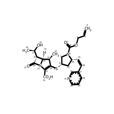 C=CCOC(=O)N1C[C@@H](SC2=C(C(=O)O)N3C(=O)[C@H]([C@@H](C)O)[C@H]3[C@H]2C)C[C@H]1/C=C\c1cccnc1